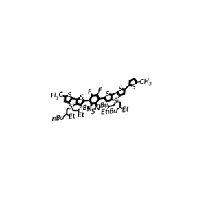 CCCCC(CC)C[Si]1(CC(CC)CCCC)c2cc(C)sc2-c2sc(-c3c(F)c(F)c(-c4cc5c(s4)-c4sc(-c6ccc(C)s6)cc4[Si]5(CC(CC)CCCC)CC(CC)CCCC)c4nsnc34)cc21